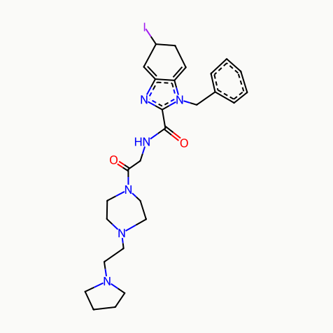 O=C(NCC(=O)N1CCN(CCN2CCCC2)CC1)c1nc2c(n1Cc1ccccc1)=CCC(I)C=2